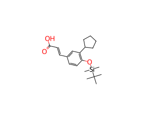 CC(C)(C)[Si](C)(C)Oc1ccc(C=CC(=O)O)cc1C1CCCC1